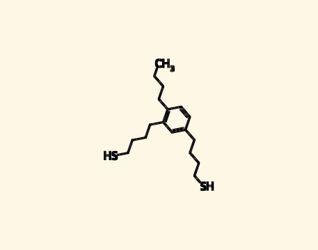 CCCCc1ccc(CCCCS)cc1CCCCS